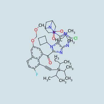 COCOc1cc(C(=O)c2nc3nc(Cl)nc(N4CC5CC(C4)N5C(=O)OC(C)(C)C)c3n2C2CCC2)c2c(C#C[Si](C(C)C)(C(C)C)C(C)C)c(F)ccc2c1